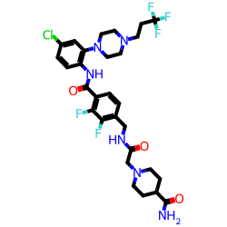 NC(=O)C1CCN(CC(=O)NCc2ccc(C(=O)Nc3ccc(Cl)cc3N3CCN(CCC(F)(F)F)CC3)c(F)c2F)CC1